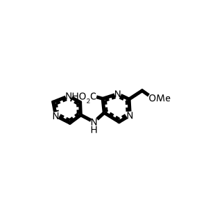 COCc1ncc(Nc2cncnc2)c(C(=O)O)n1